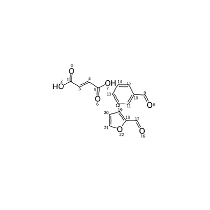 O=C(O)C=CC(=O)O.O=Cc1ccccc1.O=Cc1ccco1